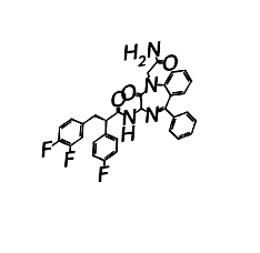 NC(=O)CN1C(=O)C(NC(=O)[C@H](Cc2ccc(F)c(F)c2)c2ccc(F)cc2)N=C(c2ccccc2)c2ccccc21